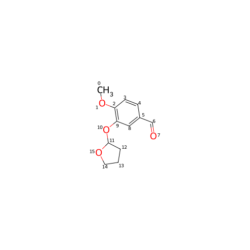 COc1ccc(C=O)cc1OC1CCCO1